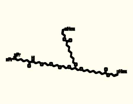 CCCCCC/C=C\COC(=O)CCCCCCCOCC(COCCOCCOCCOCCNC(=O)CCCCN(CCC)CCC)OCCCCCCCC(=O)OC/C=C\CCCCCC